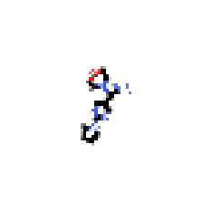 NCC(c1cnc(N2CCCC2)nc1)N1CCOCC1